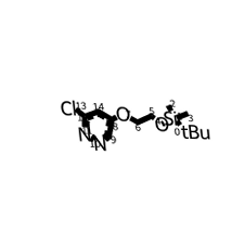 CC(C)(C)[Si](C)(C)OCCOc1cnnc(Cl)c1